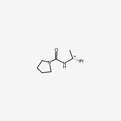 CC(C)[C@@H](C)NC(=O)N1CCCC1